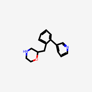 [c]1ncccc1-c1ccccc1CC1CNCCO1